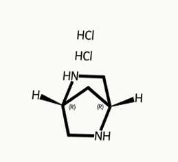 C1N[C@H]2CN[C@@H]1C2.Cl.Cl